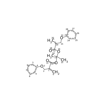 C=C(COc1ccccc1)C(=O)OC(C)(C)OC(=O)C(=C)COc1ccccc1